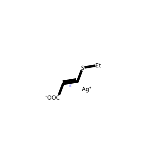 CCS/C=C/C(=O)[O-].[Ag+]